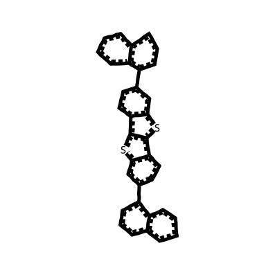 c1ccc2c(-c3ccc4c(c3)sc3c5ccc(-c6cccc7ccccc67)cc5sc43)cccc2c1